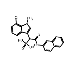 Cn1cc(C(C(=O)Nc2ccc3ccccc3c2)P(=O)(O)O)c2cccc(Cl)c21